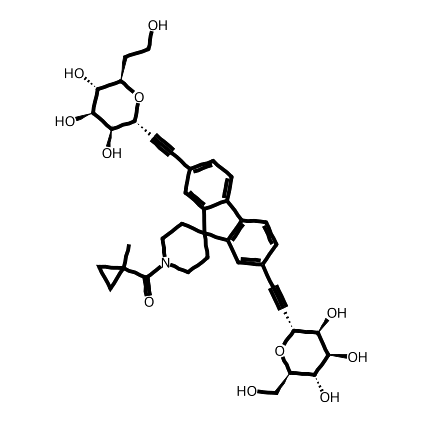 CC1(C(=O)N2CCC3(CC2)c2cc(C#C[C@H]4O[C@H](CO)[C@@H](O)[C@H](O)[C@@H]4O)ccc2-c2ccc(C#C[C@H]4O[C@H](CCO)[C@@H](O)[C@H](O)[C@@H]4O)cc23)CC1